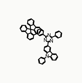 c1ccc(-c2nc(-c3cccc(-c4cccc5c4C4(c6ccccc6-c6ccccc64)c4ccccc4-5)c3)nc(-c3ccc4c(c3)c3ccccc3n4-c3ccccc3)n2)cc1